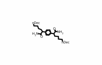 CCCCCCCCCCCCCCC(C(N)=O)c1ccc(C(CCCCCCCCCCCCCC)C(N)=O)cc1